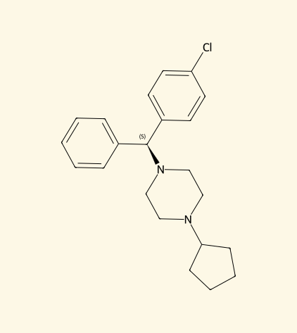 Clc1ccc([C@H](c2ccccc2)N2CCN(C3CCCC3)CC2)cc1